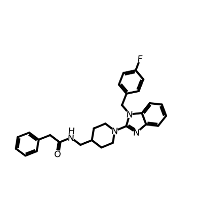 O=C(Cc1ccccc1)NCC1CCN(c2nc3ccccc3n2Cc2ccc(F)cc2)CC1